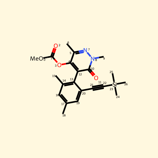 COC(=O)Oc1c(C)nn(C)c(=O)c1-c1c(C)cc(C)cc1C#C[Si](C)(C)C